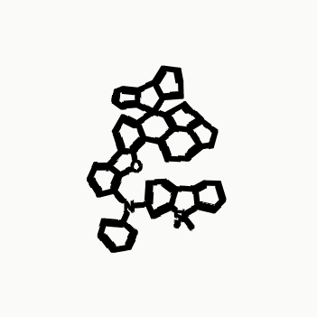 C[Si]1(C)c2ccccc2-c2ccc(N(c3ccccc3)c3cccc4c3oc3c5c(ccc34)C3(c4ccccc4-c4ccccc43)c3ccc4c6c(ccc-5c36)CC4)cc21